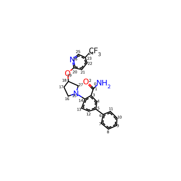 NC(=O)c1cc(-c2ccccc2)ccc1N1CCC(Oc2ccc(C(F)(F)F)cn2)C1